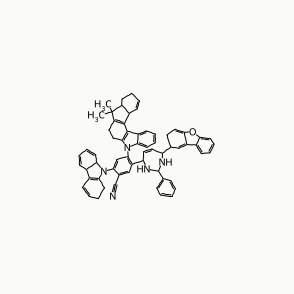 CC1(C)C2=C(c3c(n(-c4cc(N5C6=C(C=CCC6)C6C=CC=CC65)c(C#N)cc4C4C=CC(C5C=c6c(oc7ccccc67)=CC5)NC(c5ccccc5)N4)c4ccccc34)CC2)C2C=CCCC21